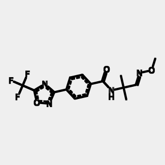 CO/N=C/C(C)(C)NC(=O)c1ccc(-c2noc(C(F)(F)F)n2)cc1